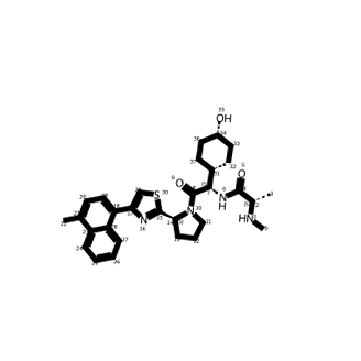 CN[C@@H](C)C(=O)N[C@H](C(=O)N1CCC[C@H]1c1nc(-c2ccc(C)c3ccccc23)cs1)[C@H]1CC[C@@H](O)CC1